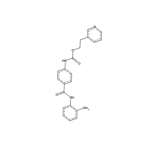 Nc1ccccc1NC(=O)c1ccc(NC(=O)OCCc2cccnc2)cc1